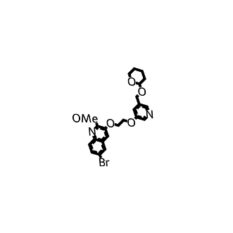 COc1nc2ccc(Br)cc2cc1OCCOc1cncc(COC2CCCCO2)c1